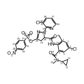 Cc1cc(Cl)cc(C(=O)N(C)C2CC2)c1NC(=O)C1CC(OS(=O)(=O)c2ccc([N+](=O)[O-])cc2)=NN1c1ncccc1Cl